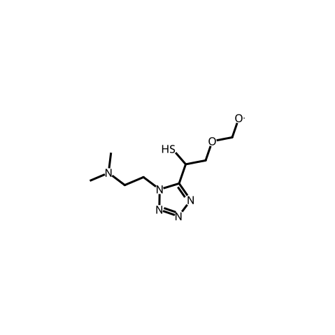 CN(C)CCn1nnnc1C(S)COC[O]